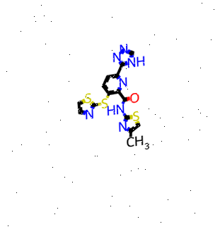 Cc1csc(NC(=O)c2nc(-c3nnc[nH]3)ccc2Sc2nccs2)n1